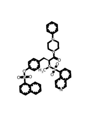 CN([C@@H](Cc1ccc(OS(=O)(=O)c2cccc3ccccc23)cc1)C(=O)N1CCN(c2ccccc2)CC1)S(=O)(=O)c1cccc2cnccc12